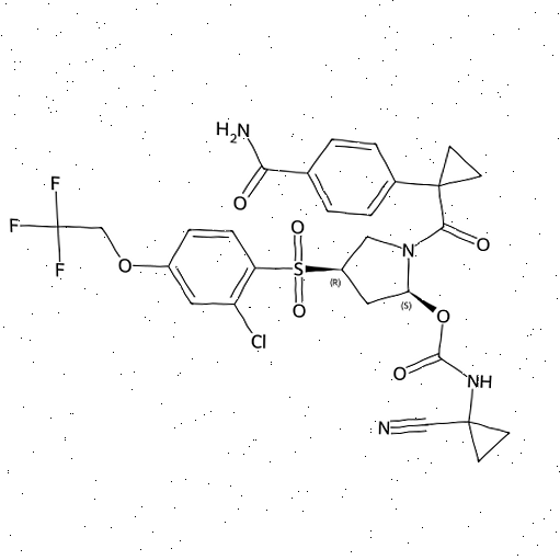 N#CC1(NC(=O)O[C@H]2C[C@@H](S(=O)(=O)c3ccc(OCC(F)(F)F)cc3Cl)CN2C(=O)C2(c3ccc(C(N)=O)cc3)CC2)CC1